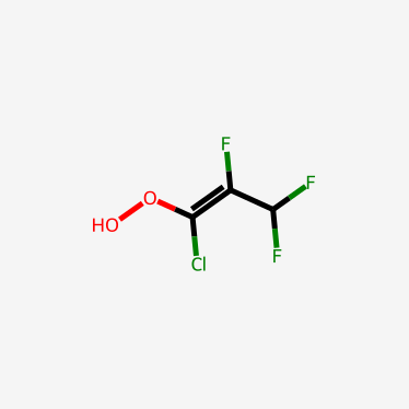 OOC(Cl)=C(F)C(F)F